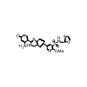 COc1ncc(-c2ccc3c(c2)CNC(C2=CCC(=O)C=C2N)=N3)cc1S(=O)(=O)NCc1ncco1